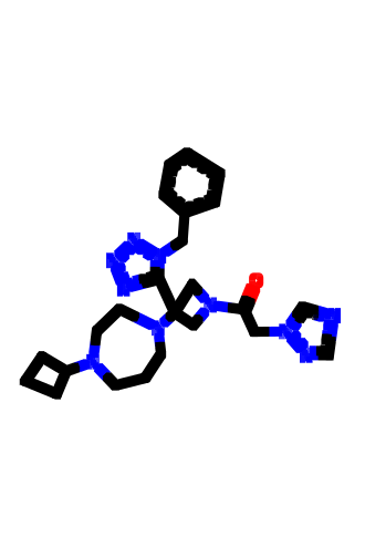 O=C(Cn1cncn1)N1CC(c2nnnn2Cc2ccccc2)(N2CCCN(C3CCC3)CC2)C1